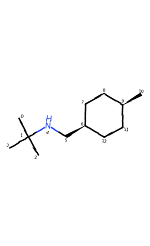 CC(C)(C)NC[C@H]1CC[C@@H](C)CC1